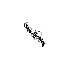 Cc1c(N)ccc(-c2ccc(N)cc2C(=O)C=Cc2ccc(OC(=O)c3ccc(OC(F)(F)F)cc3)cc2)c1C(=O)C=Cc1ccc(OC(=O)c2ccc(OC(F)(F)F)cc2)cc1